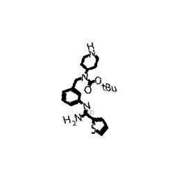 CC(C)(C)OC(=O)N(Cc1cccc(/N=C(\N)c2cccs2)c1)C1CCNCC1